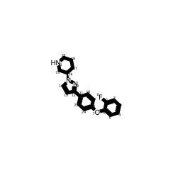 Fc1ccccc1Oc1ccc(-c2ccn([C@@H]3CCCNC3)n2)cc1